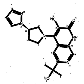 CC(C)(O)c1cc2c(N3CC[C@@H](n4cccn4)C3)c(C#N)c(=O)[nH]c2cn1